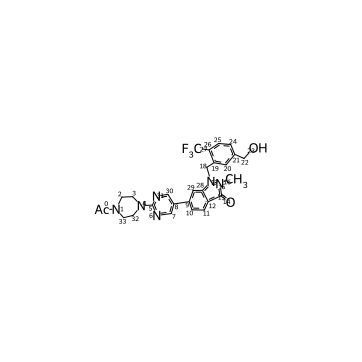 CC(=O)N1CCN(c2ncc(-c3ccc4c(=O)n(C)n(Cc5cc(CO)ccc5C(F)(F)F)c4c3)cn2)CC1